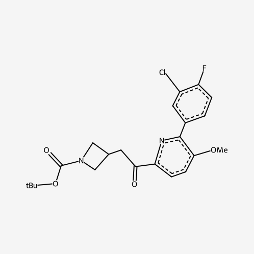 COc1ccc(C(=O)CC2CN(C(=O)OC(C)(C)C)C2)nc1-c1ccc(F)c(Cl)c1